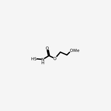 COCCOC(=O)NS